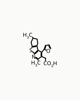 Cc1nc2sc3c(c2c(-c2ccco2)c1CC(=O)O)CCC(C)C3